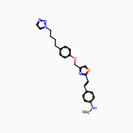 O=CNc1ccc(/C=C/c2nc(COc3ccc(CCCCn4ccnn4)cc3)co2)cc1